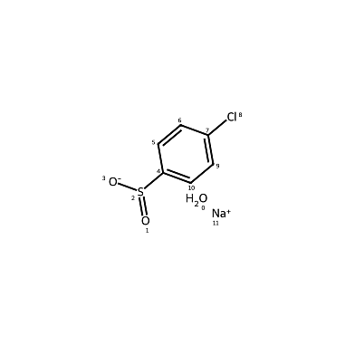 O.O=S([O-])c1ccc(Cl)cc1.[Na+]